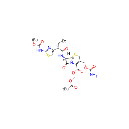 CC/C=C(\C(=O)N[C@@H]1C(=O)N2C(C(=O)OCOC(=O)C(C)(C)C)=C(COC(N)=O)CS[C@H]12)c1csc(NC(=O)OC(C)(C)C)n1